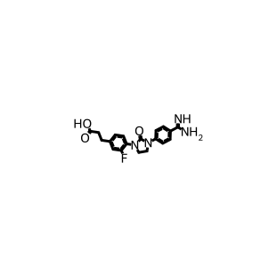 N=C(N)c1ccc(N2CCN(c3ccc(CCC(=O)O)cc3F)C2=O)cc1